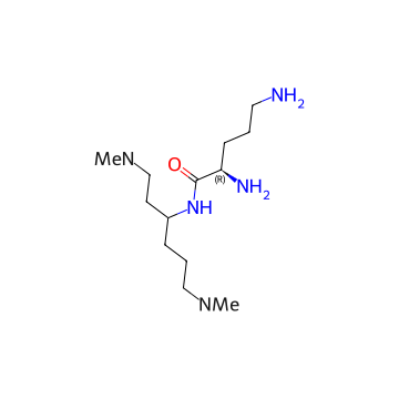 CNCCCC(CCNC)NC(=O)[C@H](N)CCCN